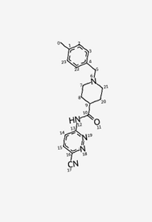 Cc1ccc(CN2CCC(C(=O)Nc3ccc(C#N)nn3)CC2)cc1